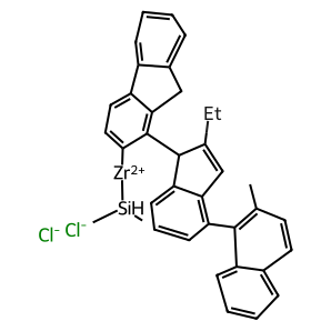 CCC1=Cc2c(-c3c(C)ccc4ccccc34)cccc2C1c1[c]([Zr+2][SiH](C)C)ccc2c1Cc1ccccc1-2.[Cl-].[Cl-]